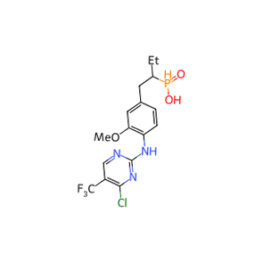 CCC(Cc1ccc(Nc2ncc(C(F)(F)F)c(Cl)n2)c(OC)c1)[PH](=O)O